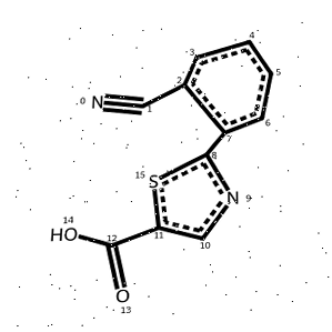 N#Cc1ccccc1-c1ncc(C(=O)O)s1